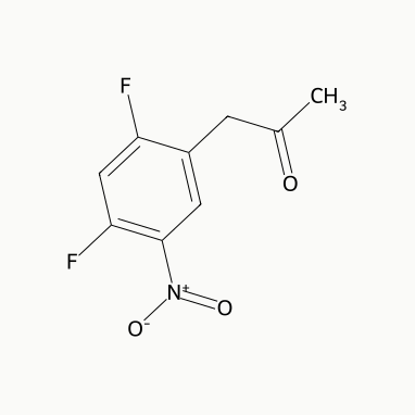 CC(=O)Cc1cc([N+](=O)[O-])c(F)cc1F